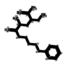 C=C(OCCSSc1ccccn1)C(C)CC(CC)C(=C)C